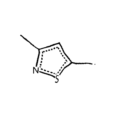 [CH2]c1cc(C)ns1